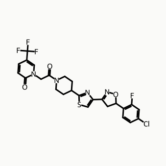 O=C(Cn1cc(C(F)(F)F)ccc1=O)N1CCC(c2nc(C3=NOC(c4ccc(Cl)cc4F)C3)cs2)CC1